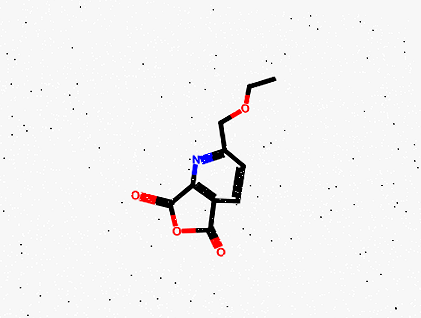 CCOCc1ccc2c(n1)C(=O)OC2=O